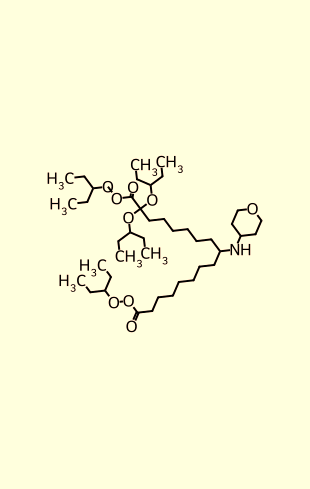 CCC(CC)OOC(=O)CCCCCCCC(CCCCCCC(OC(CC)CC)(OC(CC)CC)C(=O)OOC(CC)CC)NC1CCOCC1